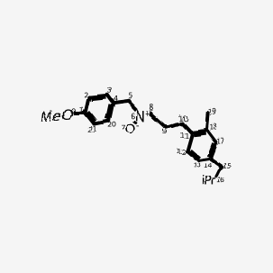 COc1ccc(C[N+]([O-])=CCCc2ccc(CC(C)C)cc2C)cc1